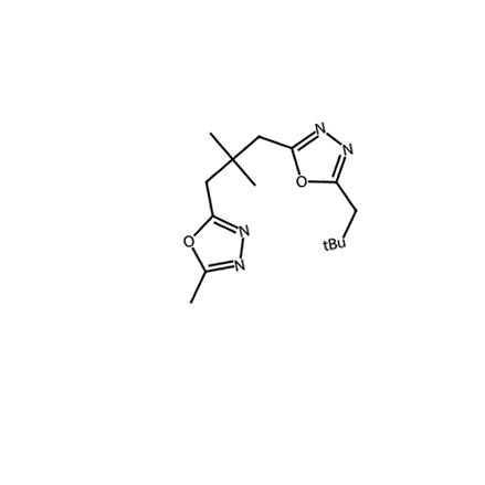 Cc1nnc(CC(C)(C)Cc2nnc(CC(C)(C)C)o2)o1